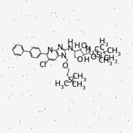 CC(C)(C)[Si](C)(C)O[C@@H]1CO[C@@H]2C(Nc3nc4nc(-c5ccc(-c6ccccc6)cc5)c(Cl)cc4n3COCC[Si](C)(C)C)CO[C@@H]21